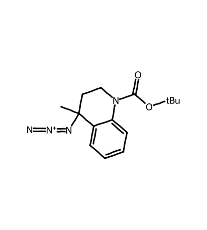 CC(C)(C)OC(=O)N1CCC(C)(N=[N+]=[N-])c2ccccc21